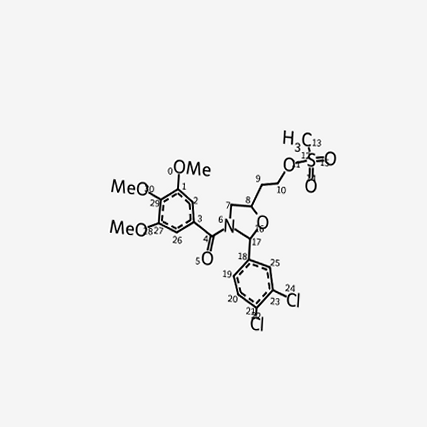 COc1cc(C(=O)N2CC(CCOS(C)(=O)=O)OC2c2ccc(Cl)c(Cl)c2)cc(OC)c1OC